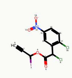 C#CC(I)OC(=O)C(Cl)c1cc([N+](=O)[O-])ccc1Cl